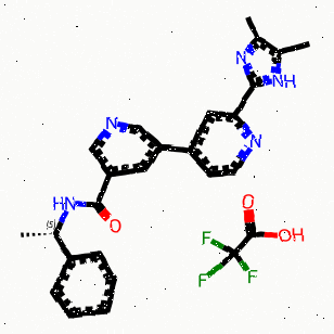 Cc1nc(-c2cc(-c3cncc(C(=O)N[C@@H](C)c4ccccc4)c3)ccn2)[nH]c1C.O=C(O)C(F)(F)F